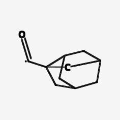 O=[C]C12CC3CC(CC1C3)C2